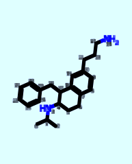 CC(C)NC1CCc2ccc(CCCN)cc2C1Cc1ccccc1